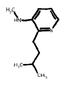 CNc1cccnc1CCC(C)C